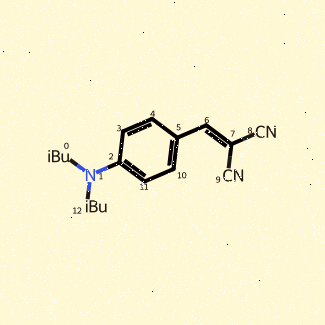 CCC(C)N(c1ccc(C=C(C#N)C#N)cc1)C(C)CC